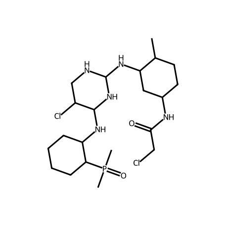 CC1CCC(NC(=O)CCl)CC1NC1NCC(Cl)C(NC2CCCCC2P(C)(C)=O)N1